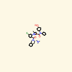 Cc1cc(C(=O)N(c2ccccc2)c2ccc(O)cc2)cn1-c1cc(F)ccc1C(=O)N1Cc2ccccc2C[C@H]1CN(C)C